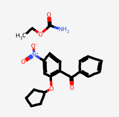 CCOC(N)=O.O=C(c1ccccc1)c1ccc([N+](=O)[O-])cc1OC1CCCC1